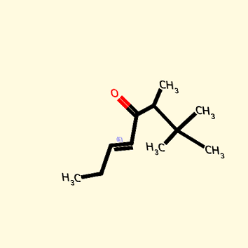 CC/C=C/C(=O)C(C)C(C)(C)C